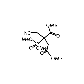 COC(=O)CC(CC#N)(C(=O)OC)P(=O)(OC)OC